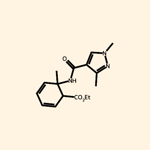 CCOC(=O)C1C=CC=CC1(C)NC(=O)c1cn(C)nc1C